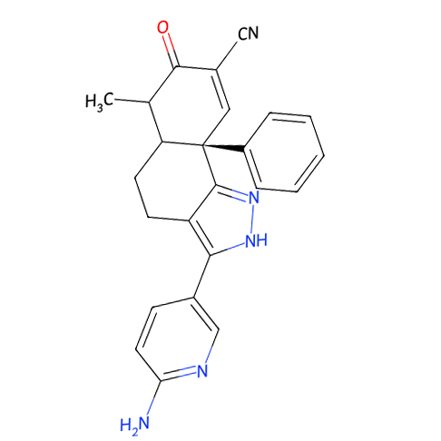 CC1C(=O)C(C#N)=C[C@]2(c3ccccc3)c3n[nH]c(-c4ccc(N)nc4)c3CCC12